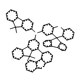 CC1(C)c2ccccc2-c2ccc(N(c3cc4c(c(-c5cccc6sc7ccccc7c56)c3)C(C)(C)c3ccccc3-4)c3ccc4c(c3)C3(c5ccccc5O4)c4ccccc4-c4ccccc43)cc21